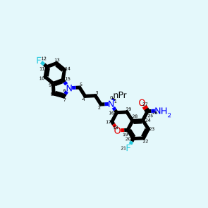 CCCN(CCCCn1ccc2cc(F)ccc21)C1COc2c(F)ccc(C(N)=O)c2C1